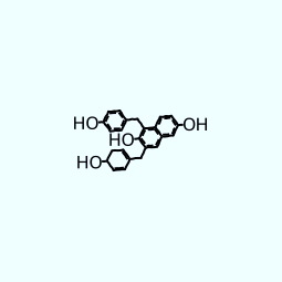 Oc1ccc(Cc2c(O)c(CC3=CCC(O)C=C3)cc3cc(O)ccc23)cc1